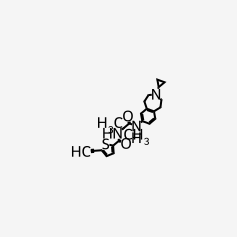 C#Cc1ccc(C(=O)NC(C)(C)C(=O)Nc2ccc3c(c2)CCN(C2CC2)CC3)s1